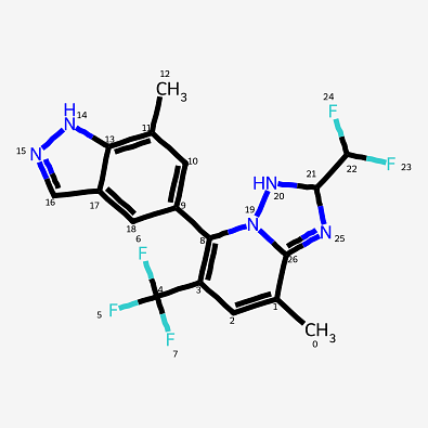 CC1=CC(C(F)(F)F)=C(c2cc(C)c3[nH]ncc3c2)N2NC(C(F)F)N=C12